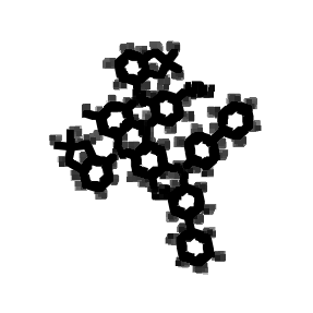 Cc1cc2c3c(c1)N(c1cccc4c1CC(C)(C)C4)c1cc(C(C)(C)C)c(N(c4ccc(-c5ccccc5)cc4)c4ccc(-c5ccccc5)cc4)cc1B3c1ccc(C(C)(C)C)cc1N2c1cccc2c1CC(C)(C)C2